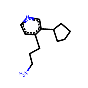 NCCCc1ccncc1C1CCCC1